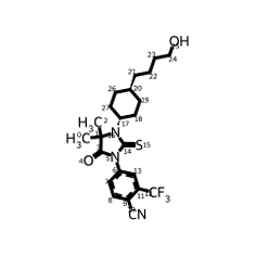 CC1(C)C(=O)N(c2ccc(C#N)c(C(F)(F)F)c2)C(=S)N1[C@H]1CC[C@H](CCCCO)CC1